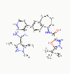 Cc1nn(C)c(C)c1-c1nc2c(-c3ccc4c(c3)CCCC[C@H]4NC(=O)c3nnc(C(C)(C)C)o3)ccnc2[nH]1